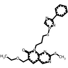 CCOCc1cc2cnc(SC)nc2n(CCCSn2cnc(-c3ccccc3)n2)c1=O